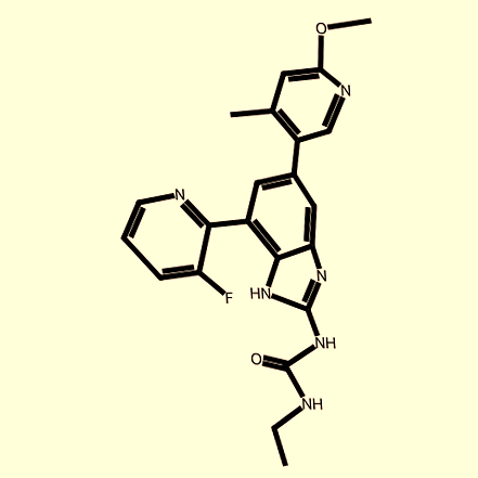 CCNC(=O)Nc1nc2cc(-c3cnc(OC)cc3C)cc(-c3ncccc3F)c2[nH]1